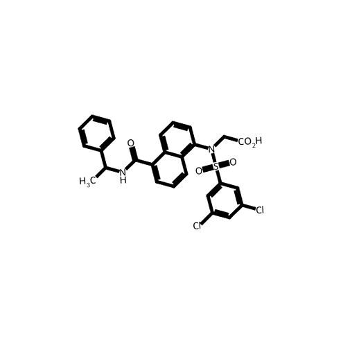 CC(NC(=O)c1cccc2c(N(CC(=O)O)S(=O)(=O)c3cc(Cl)cc(Cl)c3)cccc12)c1ccccc1